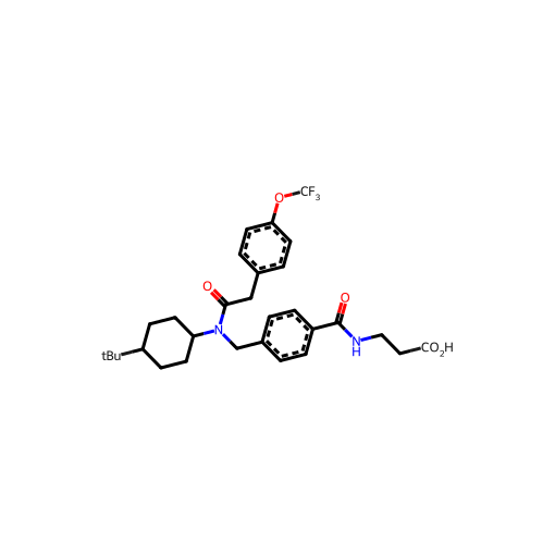 CC(C)(C)C1CCC(N(Cc2ccc(C(=O)NCCC(=O)O)cc2)C(=O)Cc2ccc(OC(F)(F)F)cc2)CC1